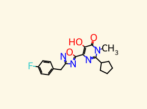 Cn1c(C2CCCC2)nc(-c2nc(Cc3ccc(F)cc3)no2)c(O)c1=O